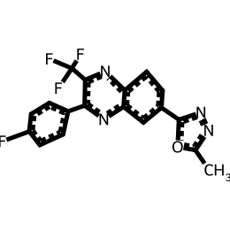 Cc1nnc(-c2ccc3nc(C(F)(F)F)c(-c4ccc(F)cc4)nc3c2)o1